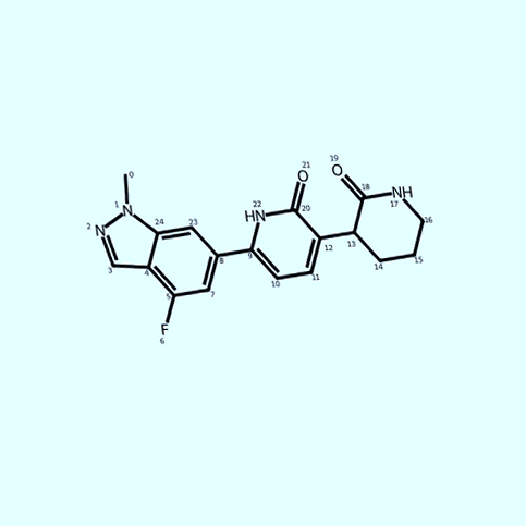 Cn1ncc2c(F)cc(-c3ccc(C4CCCNC4=O)c(=O)[nH]3)cc21